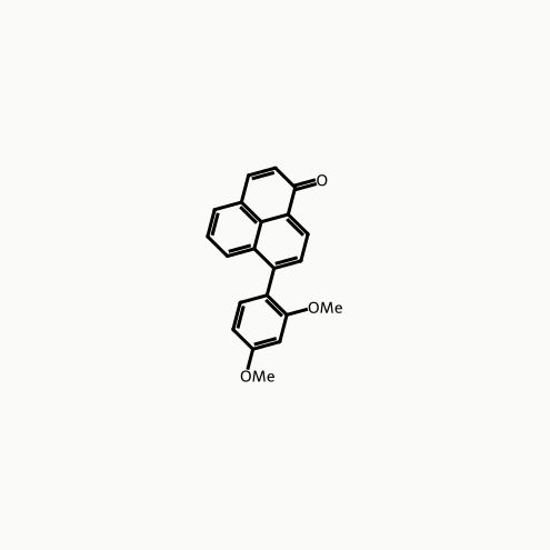 COc1ccc(-c2ccc3c4c(cccc24)C=CC3=O)c(OC)c1